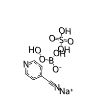 N#Cc1ccncc1.O=S(=O)(O)O.[Na+].[O-]B(O)OO